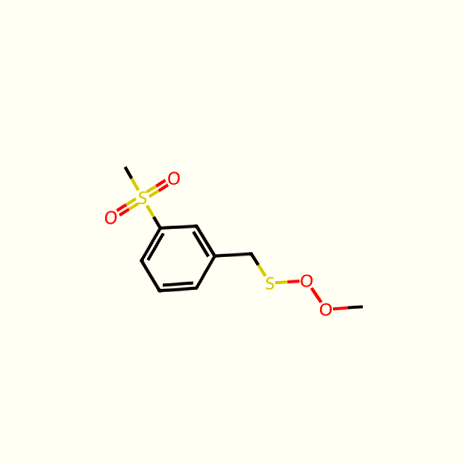 COOSCc1cccc(S(C)(=O)=O)c1